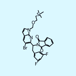 C[Si](C)(C)CCOCn1ccc2cc(Br)c(C(Cc3cc(F)cc(F)c3)N3C(=O)c4ccccc4C3=O)nc21